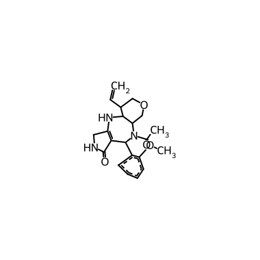 C=CC1COCC2C1NC1=C(C(=O)NC1)C(c1ccccc1OC)N2C(C)=O